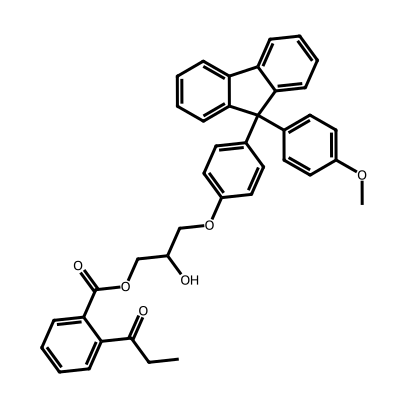 CCC(=O)c1ccccc1C(=O)OCC(O)COc1ccc(C2(c3ccc(OC)cc3)c3ccccc3-c3ccccc32)cc1